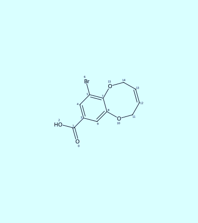 O=C(O)c1cc(Br)c2c(c1)OCC=CCO2